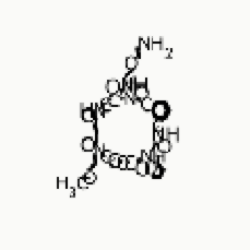 COCCCN1CCCCC(=O)N[C@@H](Cc2ccco2)C(=O)NCc2ccccc2CC(=O)N[C@H](C(=O)NCCOCCN)CCNC(=O)/C=C/C1=O